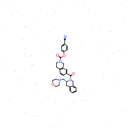 N#Cc1ccc(OC(=O)N2CCc3ccc(C(=O)N4Cc5ccccc5C[C@H]4CN4CCOCC4)cc3C2)cc1